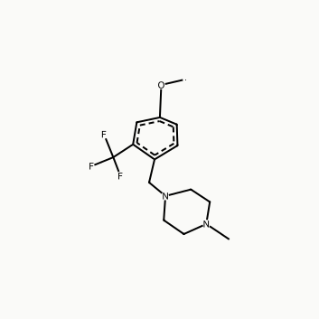 [CH2]Oc1ccc(CN2CCN(C)CC2)c(C(F)(F)F)c1